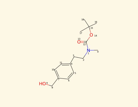 CN(CCc1ccc(CO)cc1)C(=O)OC(C)(C)C